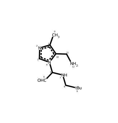 Cc1ncn(C(C=O)NCC(C)(C)C)c1CN